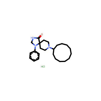 Cl.O=C1NCN(c2ccccc2)C12CCN(C1CCCCCCCCCC1)CC2